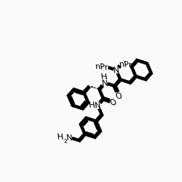 CCCN(CCC)C(CC1CCCCC1)C(=O)N[C@@H](Cc1ccccc1)C(=O)NCc1ccc(CN)cc1